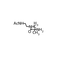 CC(=O)NCCNC(=O)C(C)(C)N